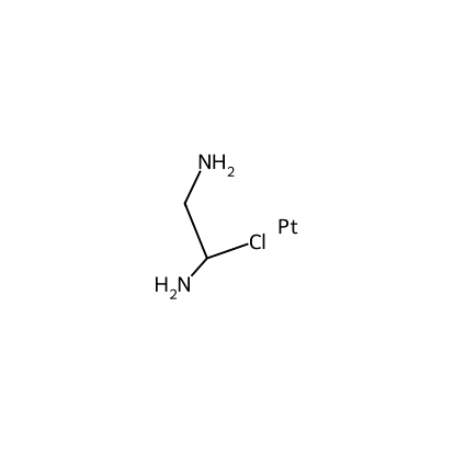 NCC(N)Cl.[Pt]